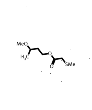 COC(C)CCOC(=O)CSC